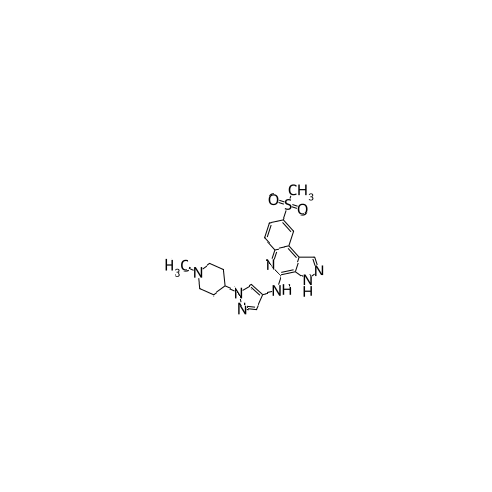 CN1CCC(n2cc(Nc3nc4ccc(S(C)(=O)=O)cc4c4cn[nH]c34)cn2)CC1